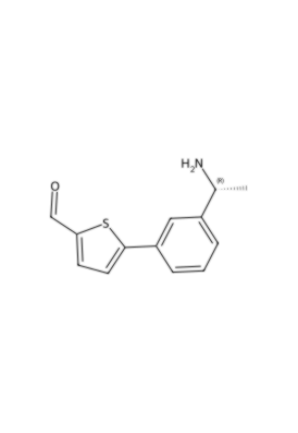 C[C@@H](N)c1cccc(-c2ccc(C=O)s2)c1